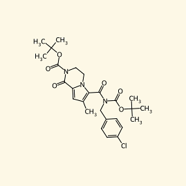 Cc1cc2n(c1C(=O)N(Cc1ccc(Cl)cc1)C(=O)OC(C)(C)C)CCN(C(=O)OC(C)(C)C)C2=O